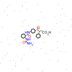 NC(=O)Nc1ccccc1C(=O)Nc1ccc([S+]([O-])C(CC(=O)O)c2ccccc2)cc1